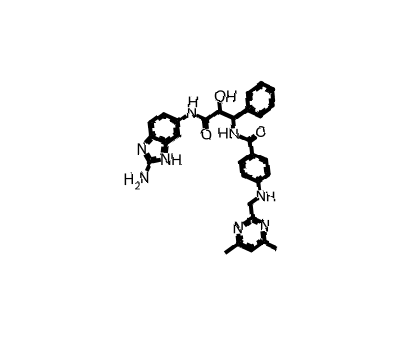 Cc1cc(C)nc(CNc2ccc(C(=O)NC(c3ccccc3)C(O)C(=O)Nc3ccc4nc(N)[nH]c4c3)cc2)n1